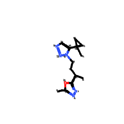 Cc1nnc(C(C)CCn2nncc2C2(C)CC2)o1